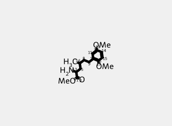 COC(=O)C(N)CC(C)CCc1cc(OC)ccc1OC